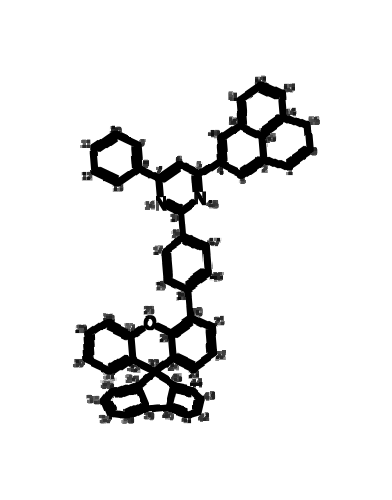 C1=Cc2cc(-c3cc(-c4ccccc4)nc(-c4ccc(-c5cccc6c5Oc5ccccc5C65c6ccccc6-c6ccccc65)cc4)n3)cc3cccc(c23)C1